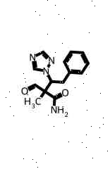 CC(C=O)(C(N)=O)C(Cc1ccccc1)n1cncn1